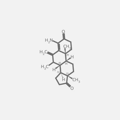 C=C1C2=C(N)C(=O)CC[C@]2(C)[C@@H]2CC[C@]3(C)C(=O)CC[C@H]3[C@@H]2C1C